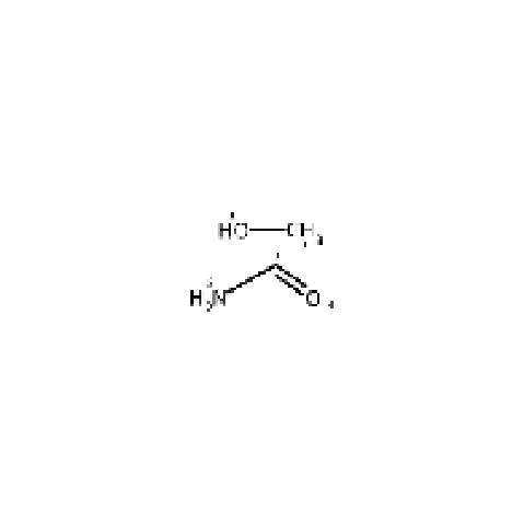 CO.NC=O